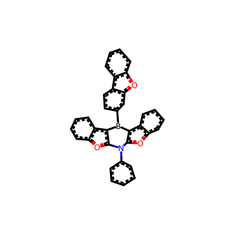 c1ccc(N2c3oc4ccccc4c3B(c3ccc4c(c3)oc3ccccc34)c3c2oc2ccccc32)cc1